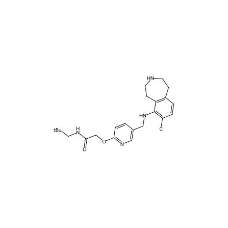 CC(C)(C)CNC(=O)COc1ccc(CNc2c(Cl)ccc3c2CCNCC3)cn1